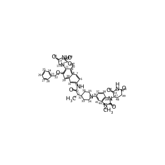 C[C@H](C(=O)Nc1ccc2c(F)c(N3CC(=O)NS3(=O)=O)c(OCc3ccccc3)cc2c1)C1CCN(c2ccc3c(c2)n(C)c(=O)n3C2CCC(=O)NC2=O)CC1